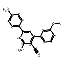 COc1cccc(-c2cc(-c3ccc(N)cc3)nc(N)c2C#N)c1